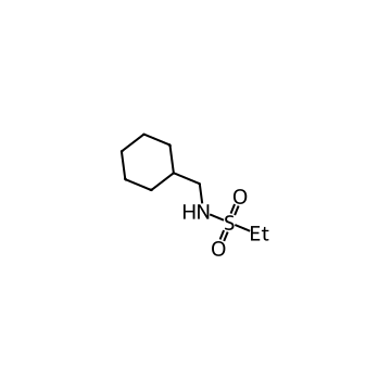 CCS(=O)(=O)NCC1CCCCC1